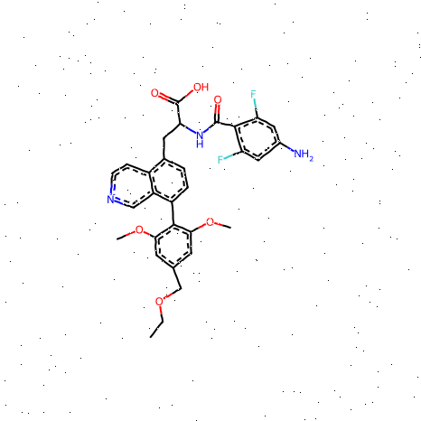 CCOCc1cc(OC)c(-c2ccc(CC(NC(=O)c3c(F)cc(N)cc3F)C(=O)O)c3ccncc23)c(OC)c1